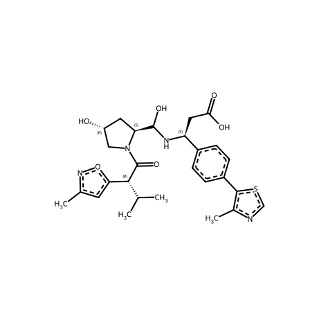 Cc1cc([C@H](C(=O)N2C[C@H](O)C[C@H]2C(O)N[C@@H](CC(=O)O)c2ccc(-c3scnc3C)cc2)C(C)C)on1